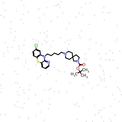 CC(C)(C)OC(=O)N1CCC2(CCN(CCCCCN3c4cc(Cl)ccc4Sc4cccnc43)CC2)C1